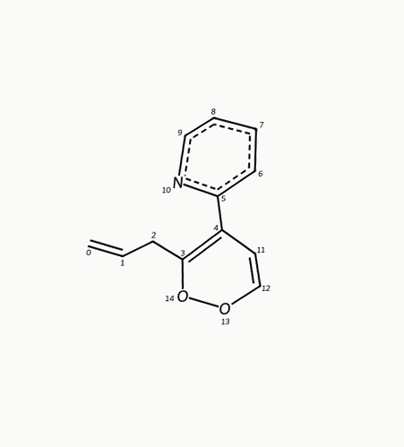 C=CCC1=C(c2ccccn2)C=COO1